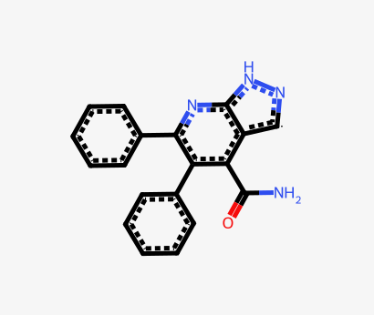 NC(=O)c1c(-c2ccccc2)c(-c2ccccc2)nc2[nH]n[c]c12